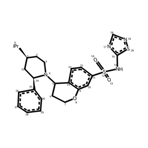 CC(C)[C@H]1CCN(C2CCOc3cc(S(=O)(=O)Nc4ncns4)ccc32)[C@@H](c2ccccc2)C1